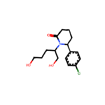 O=C1CCCC(c2ccc(Cl)cc2)N1C(CO)CCCO